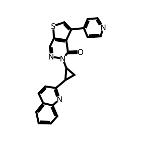 O=c1c2c(-c3ccncc3)csc2cnn1C1CC1c1ccc2ccccc2n1